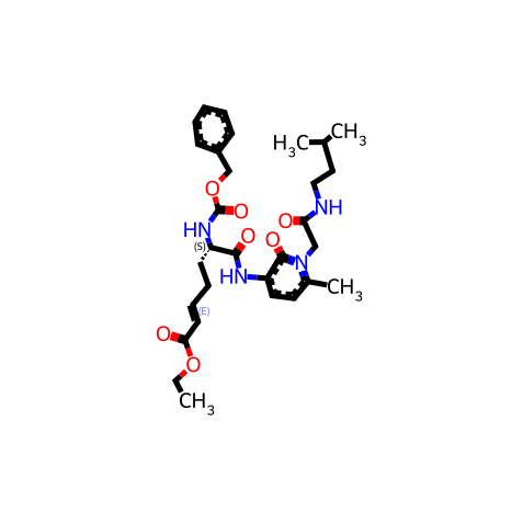 CCOC(=O)/C=C/CC[C@H](NC(=O)OCc1ccccc1)C(=O)Nc1ccc(C)n(CC(=O)NCCC(C)C)c1=O